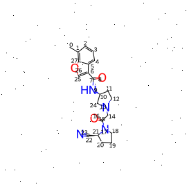 Cc1cccc2c(C(=O)N[C@H]3CCN(CC(=O)N4CCC[C@H]4C#N)C3)coc12